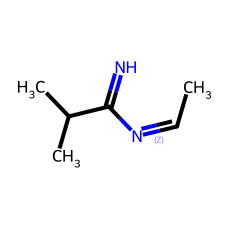 C/C=N\C(=N)C(C)C